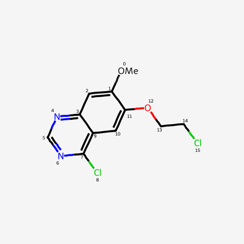 COc1cc2ncnc(Cl)c2cc1OCCCl